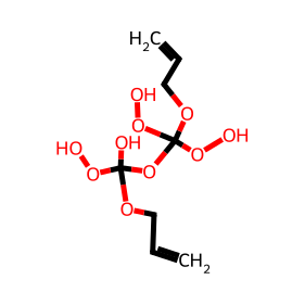 C=CCOC(O)(OO)OC(OO)(OO)OCC=C